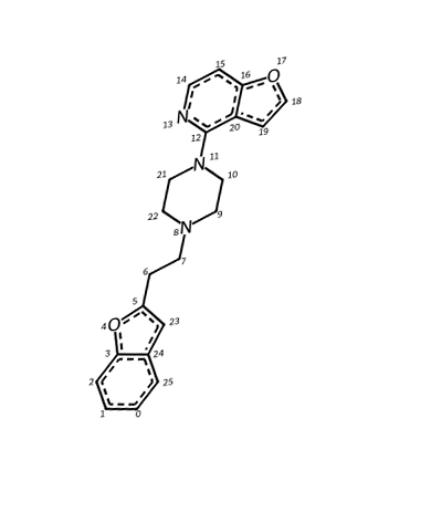 c1ccc2oc(CCN3CCN(c4nccc5occc45)CC3)cc2c1